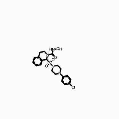 O=C(NO)N1CCc2ccccc2C1S(=O)(=O)N1CCN(c2ccc(Cl)cc2)CC1